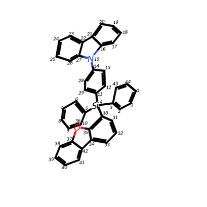 c1ccc([Si](c2ccccc2)(c2ccc(-n3c4ccccc4c4ccccc43)cc2)c2cccc3c2oc2ccccc23)cc1